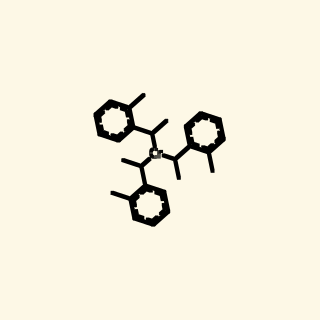 Cc1ccccc1[CH](C)[Cr]([CH](C)c1ccccc1C)[CH](C)c1ccccc1C